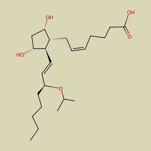 CCCCC[C@@H](/C=C/[C@@H]1[C@@H](C/C=C\CCCC(=O)O)[C@@H](O)C[C@H]1O)OC(C)C